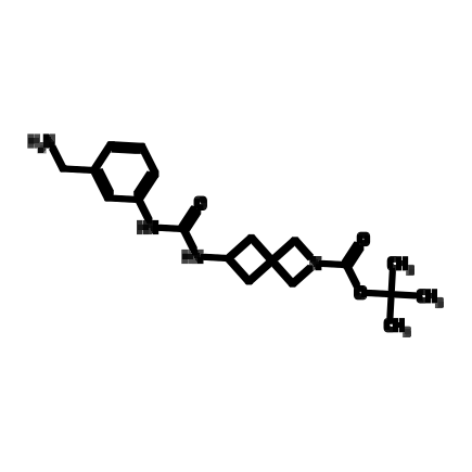 CC(C)(C)OC(=O)N1CC2(CC(NC(=O)Nc3cccc(CN)c3)C2)C1